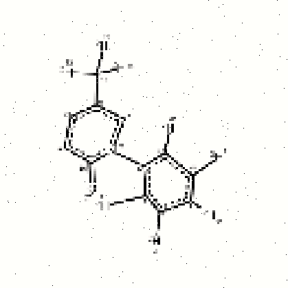 [2H]c1c([2H])c([2H])c(-n2cc(C([2H])([2H])[2H])ccc2=O)c([2H])c1[2H]